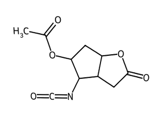 CC(=O)OC1CC2OC(=O)CC2C1N=C=O